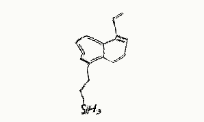 C=Cc1cccc2c(CC[SiH3])cccc12